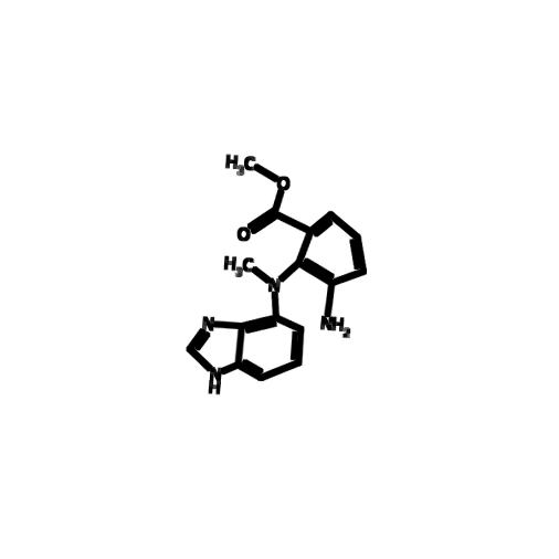 COC(=O)c1cccc(N)c1N(C)c1cccc2[nH]cnc12